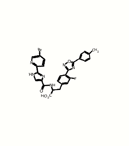 Cc1ccc(-c2nc(-c3ccc(CC(NC(=O)c4c[nH]c(-c5ccc(Br)cn5)n4)C(=O)O)cc3F)no2)cc1